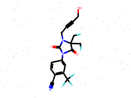 N#Cc1ccc(N2C(=O)N(CC#CCO)C(CF)(CF)C2=O)cc1C(F)(F)F